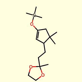 CC1(CCC2C=C(O[Si](C)(C)C)CC2(C)C)OCCO1